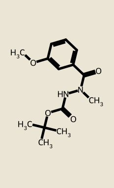 COc1cccc(C(=O)N(C)NC(=O)OC(C)(C)C)c1